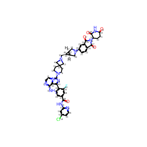 Nc1nccn2c(N3CCC4(CC3)CN(C[C@H]3[C@H]5CN(c6ccc7c(c6)C(=O)N(C6CCC(=O)NC6=O)C7=O)C[C@@H]35)C4)nc(-c3ccc(C(=O)Nc4cc(Cl)ccn4)cc3F)c12